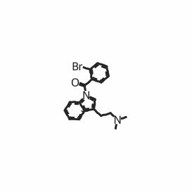 CN(C)CCc1cn(C(=O)c2ccccc2Br)c2ccccc12